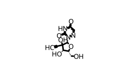 C#CC1(O)[C@@H](O)[C@@H](CO)O[C@H]1n1ncc(=O)[nH]c1=O